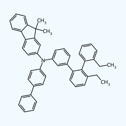 CCc1ccccc1-c1c(CC)cccc1-c1cccc(N(c2ccc(-c3ccccc3)cc2)c2ccc3c(c2)C(C)(C)c2ccccc2-3)c1